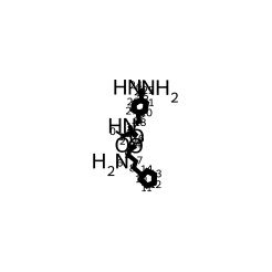 C[C@H](OC(=O)[C@H](N)CCc1ccccc1)C(=O)NCc1ccc(C(=N)N)cc1